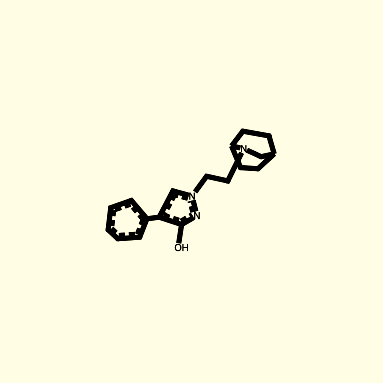 Oc1nn(CCN2CC3CCC2CC3)cc1-c1ccccc1